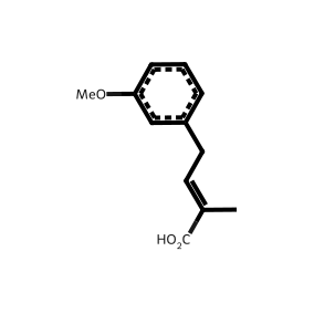 COc1cccc(C/C=C(\C)C(=O)O)c1